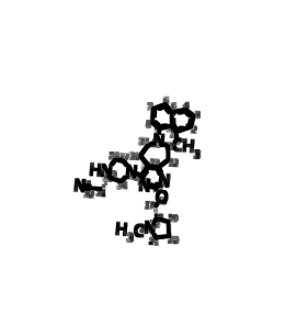 Cc1cccc2cccc(N3CCc4nc(OC[C@@H]5CCCN5C)nc(N5CCN[C@@H](CC#N)C5)c4CC3)c12